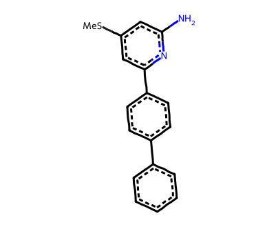 CSc1cc(N)nc(-c2ccc(-c3ccccc3)cc2)c1